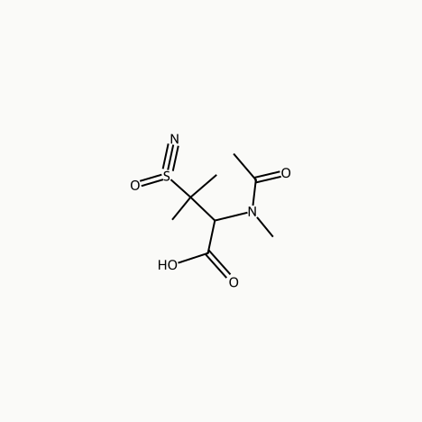 CC(=O)N(C)C(C(=O)O)C(C)(C)S(#N)=O